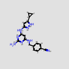 N#Cc1ccc(CNc2cc(Nc3cc(C4CC4)[nH]n3)nc(N)n2)cc1